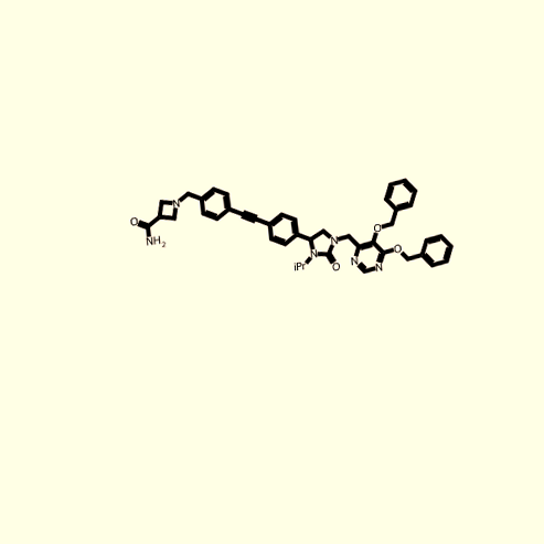 CC(C)N1C(=O)N(Cc2ncnc(OCc3ccccc3)c2OCc2ccccc2)CC1c1ccc(C#Cc2ccc(CN3CC(C(N)=O)C3)cc2)cc1